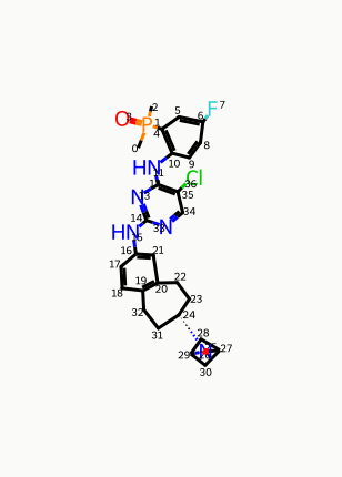 CP(C)(=O)c1cc(F)ccc1Nc1nc(Nc2ccc3c(c2)CC[C@H](N2CC4CC2C4)CC3)ncc1Cl